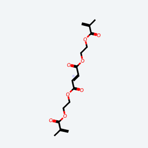 C=C(C)C(=O)OCCOC(=O)/C=C/C(=O)OCCOC(=O)C(=C)C